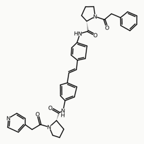 O=C(Nc1ccc(/C=C/c2ccc(NC(=O)[C@@H]3CCCN3C(=O)Cc3ccncc3)cc2)cc1)[C@@H]1CCCN1C(=O)Cc1ccccc1